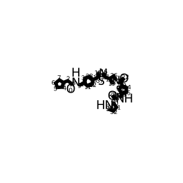 O=C(CC1CCCC1)NCc1ccc(-c2cnc(C3CN(C(=O)c4ccc(NC(=O)[C@@H]5CCCN5)s4)C3)s2)cc1